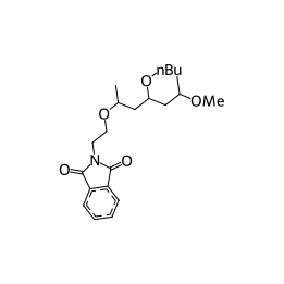 CCCCOC(CC(C)OC)CC(C)OCCN1C(=O)c2ccccc2C1=O